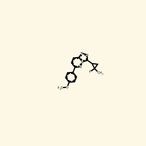 CC1(F)CC1c1nnc2ccc(-c3ccc(OC(F)(F)F)cc3)nn12